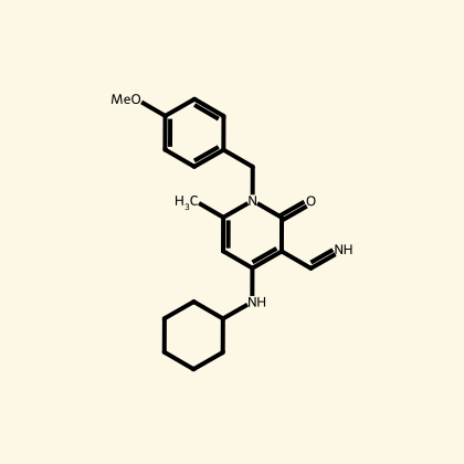 COc1ccc(Cn2c(C)cc(NC3CCCCC3)c(C=N)c2=O)cc1